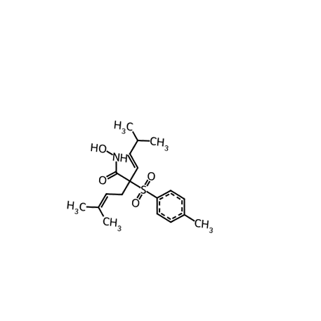 CC(C)=CCC(C=CC(C)C)(C(=O)NO)S(=O)(=O)c1ccc(C)cc1